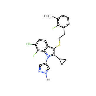 CCn1cc(-n2c(C3CC3)c(SCCc3cccc(C(=O)O)c3F)c3ccc(Cl)c(F)c32)cn1